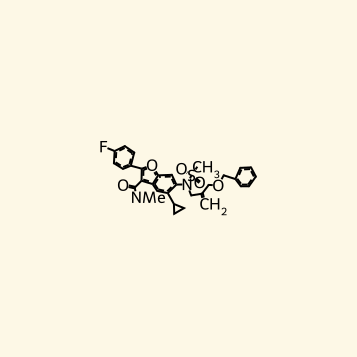 C=C(COCc1ccccc1)CN(c1cc2oc(-c3ccc(F)cc3)c(C(=O)NC)c2cc1C1CC1)S(C)(=O)=O